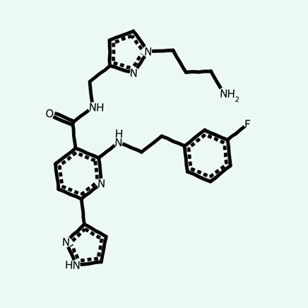 NCCCn1ccc(CNC(=O)c2ccc(-c3cc[nH]n3)nc2NCCc2cccc(F)c2)n1